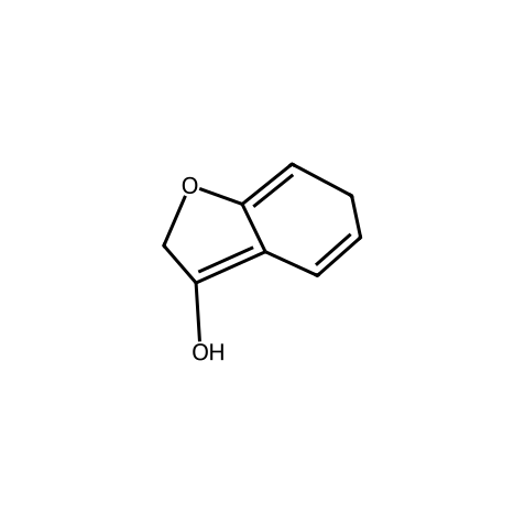 OC1=C2C=CCC=C2OC1